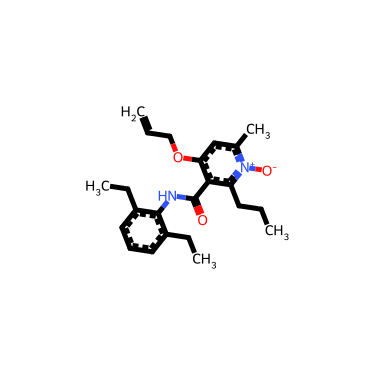 C=CCOc1cc(C)[n+]([O-])c(CCC)c1C(=O)Nc1c(CC)cccc1CC